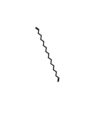 C=CCCCCCCCCCCCCCCCC=C